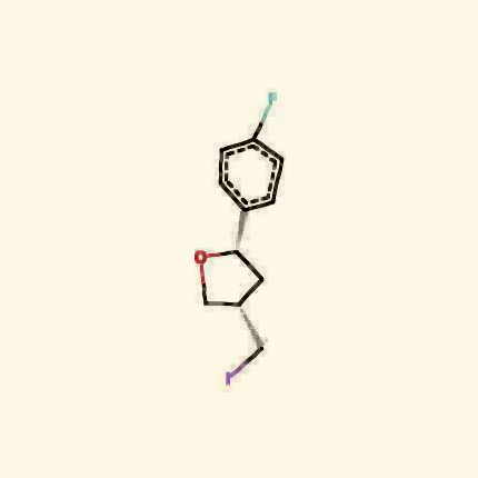 Fc1ccc([C@@H]2C[C@H](CI)CO2)cc1